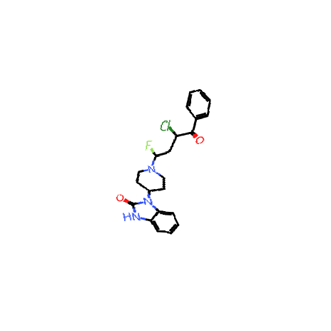 O=C(c1ccccc1)C(Cl)CC(F)N1CCC(n2c(=O)[nH]c3ccccc32)CC1